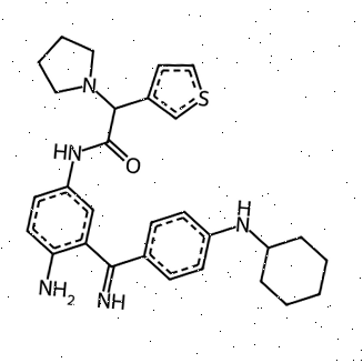 N=C(c1ccc(NC2CCCCC2)cc1)c1cc(NC(=O)C(c2ccsc2)N2CCCC2)ccc1N